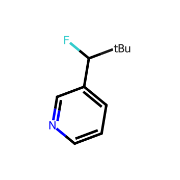 CC(C)(C)C(F)c1cccnc1